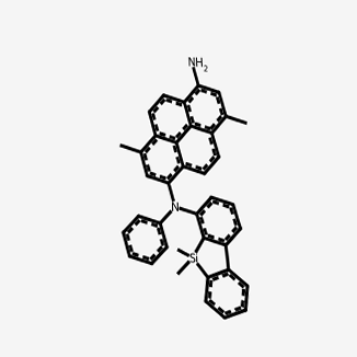 Cc1cc(N)c2ccc3c(C)cc(N(c4ccccc4)c4cccc5c4[Si](C)(C)c4ccccc4-5)c4ccc1c2c34